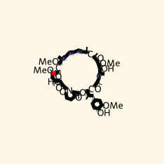 CO[C@H]1C[C@H]2O[C@@](O)(C(=O)C(=O)N3CCCC[C@H]3C(=O)O[C@H]([C@H](C)C[C@H]3CC[C@@H](O)[C@H](OC)C3)CC(=O)[C@@H](C)/C=C(/C)[C@@H](O)[C@@H](OC)C(=O)[C@H](C)C[C@H](C)/C=C/C=C/C=C/1C)[C@H](C)C[C@@H]2OC